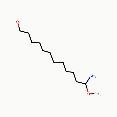 COC(N)CCCCCCCCCCCO